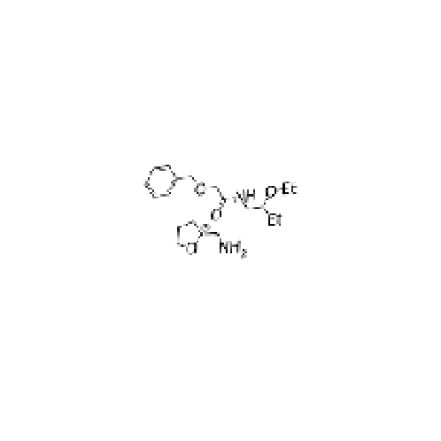 CCOC(CC)CNC(=O)COCc1ccccc1.NC[C@@H]1CCCO1